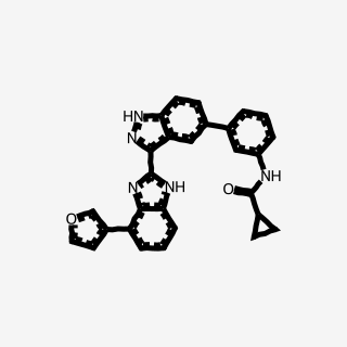 O=C(Nc1cccc(-c2ccc3[nH]nc(-c4nc5c(-c6ccoc6)cccc5[nH]4)c3c2)c1)C1CC1